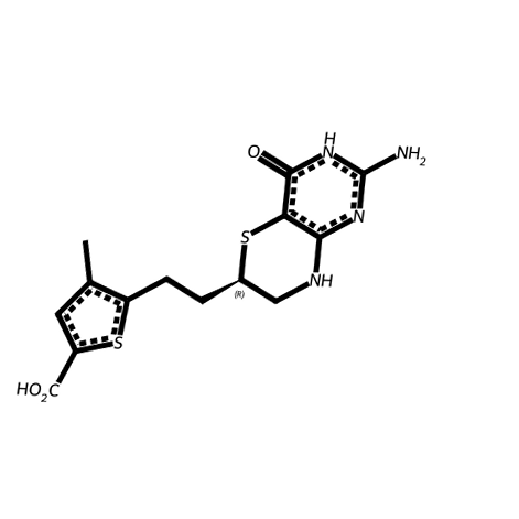 Cc1cc(C(=O)O)sc1CC[C@@H]1CNc2nc(N)[nH]c(=O)c2S1